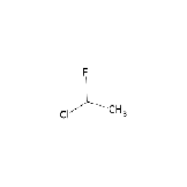 CC(F)Cl